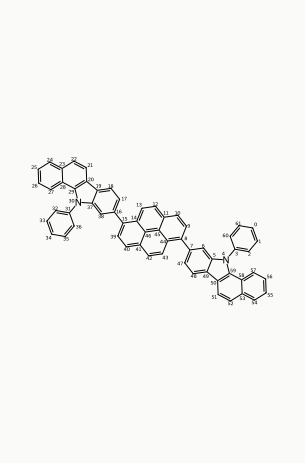 c1ccc(-n2c3cc(-c4ccc5ccc6c(-c7ccc8c9ccc%10ccccc%10c9n(-c9ccccc9)c8c7)ccc7ccc4c5c76)ccc3c3ccc4ccccc4c32)cc1